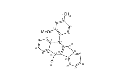 COc1cc(C)ccc1N1c2ccccc2[S+]([O-])c2c1oc1ccccc21